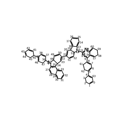 C1=CCCC(C2=CC=C(c3nc(N4c5ccccc5C5C=C(C6=CC7c8c(ccc9ccccc89)N(C8C=CC(C9C=CC=CC9)=CC8)C7C=C6)C=CC54)nc4c3=CCCC=4)CC2)=C1